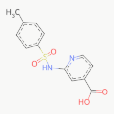 Cc1ccc(S(=O)(=O)Nc2cc(C(=O)O)ccn2)cc1